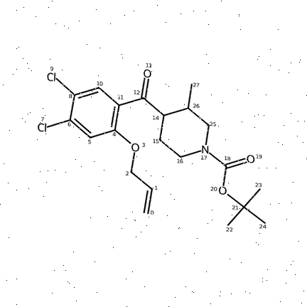 C=CCOc1cc(Cl)c(Cl)cc1C(=O)C1CCN(C(=O)OC(C)(C)C)CC1C